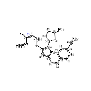 C/C(C=N)=C/NCc1nc2cnc3ccc(C#N)cc3c2n1C1CCC(F)C1